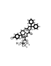 CC(C)(C)OC(=O)NCCC(=O)NCC(CCCN1CCC(O)(c2ccc(Cl)cc2)CC1)(c1ccccc1)c1ccccc1